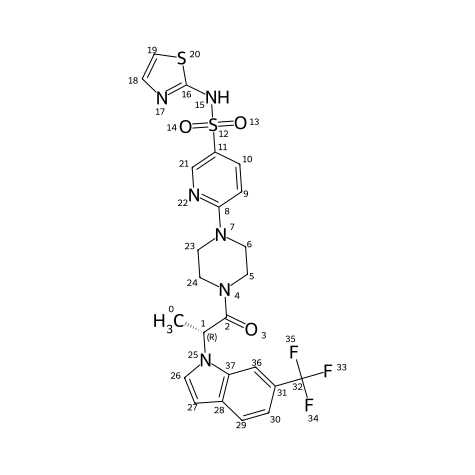 C[C@H](C(=O)N1CCN(c2ccc(S(=O)(=O)Nc3nccs3)cn2)CC1)n1ccc2ccc(C(F)(F)F)cc21